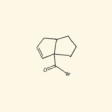 O=C(Br)C12C=CCC1CCC2